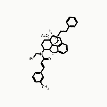 CC(=O)O[C@@]12CCC(N(CC(C)C)C(=O)/C=C/c3cccc(C)c3)C3Oc4cccc5c4[C@@]31CCN(CCc1ccccc1)[C@@H]2C5